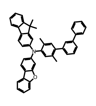 Cc1cc(N(c2ccc3c(c2)C(C)(C)c2ccccc2-3)c2ccc3c(c2)oc2ccccc23)c(C)cc1-c1cccc(-c2ccccc2)c1